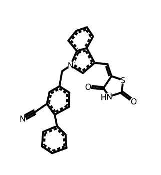 N#Cc1cc(Cn2cc(C=C3SC(=O)NC3=O)c3ccccc32)ccc1-c1ccccc1